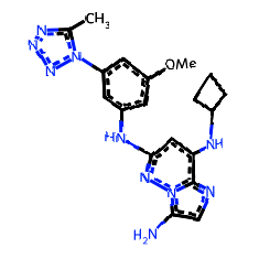 COc1cc(Nc2cc(NC3CCC3)c3ncc(N)n3n2)cc(-n2nnnc2C)c1